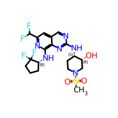 CS(=O)(=O)N1CC[C@H](Nc2ncc3cc(C(F)F)nc(N[C@@H]4CCCC4(F)F)c3n2)[C@H](O)C1